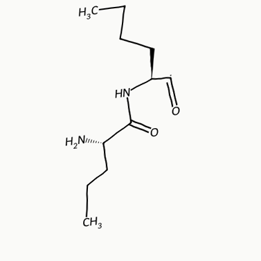 CCCC[C@@H]([C]=O)NC(=O)[C@@H](N)CCC